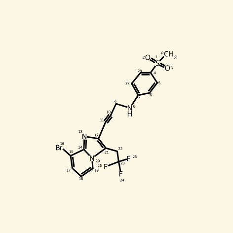 CS(=O)(=O)c1ccc(NCC#Cc2nc3c(Br)cccn3c2CC(F)(F)F)cc1